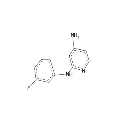 Nc1c[c]nc(Nc2cccc(F)c2)c1